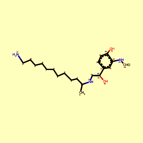 CC(CCCCCCCCCCN)NC[C@H](O)c1ccc(O)c(NC=O)c1